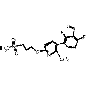 Cc1nc(OCCCS(C)(=O)=O)ccc1-c1ccc(F)c(C=O)c1F